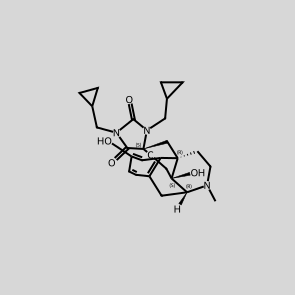 CN1CC[C@]23C[C@@]4(CC[C@@]2(O)[C@H]1Cc1ccc(O)cc13)C(=O)N(CC1CC1)C(=O)N4CC1CC1